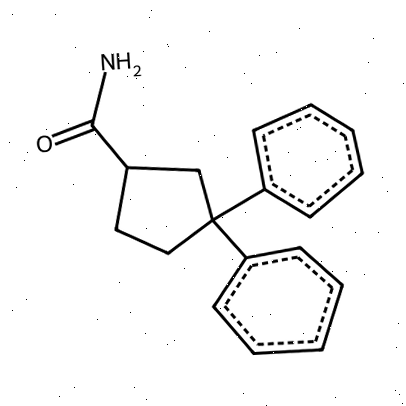 NC(=O)C1CCC(c2ccccc2)(c2ccccc2)C1